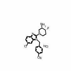 Cl.N#Cc1ccc(Cn2c(N3CC[C@@H](F)[C@H](N)C3)nc3ccc(Cl)cc32)cc1